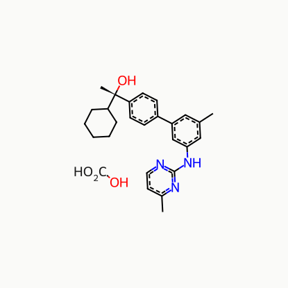 Cc1cc(Nc2nccc(C)n2)cc(-c2ccc([C@@](C)(O)C3CCCCC3)cc2)c1.O=C(O)O